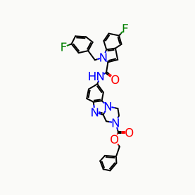 O=C(Nc1ccc2nc3n(c2c1)CCN(C(=O)OCc1ccccc1)C3)c1cc2cc(F)ccc2n1Cc1cccc(F)c1